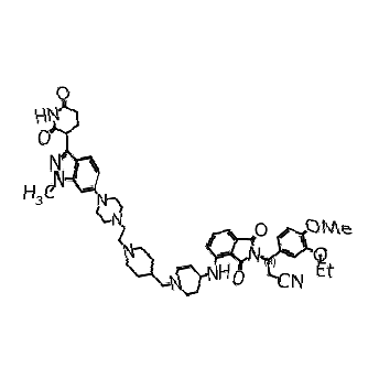 CCOc1cc([C@@H](CC#N)N2C(=O)c3cccc(NC4CCN(CC5CCN(CCN6CCN(c7ccc8c(C9CCC(=O)NC9=O)nn(C)c8c7)CC6)CC5)CC4)c3C2=O)ccc1OC